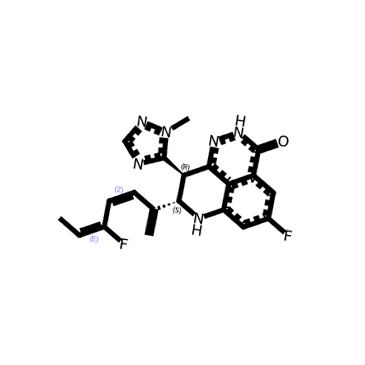 C=C(/C=C\C(F)=C/C)[C@H]1Nc2cc(F)cc3c(=O)[nH]nc(c23)[C@@H]1c1ncnn1C